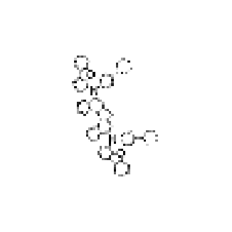 C1=C(N(c2ccc(C3CCCCC3)cc2)c2cccc3c2oc2ccccc23)c2ccccc2C2c3c(cc(N(c4ccc(C5CCCCC5)cc4)c4cccc5c4oc4ccccc45)c4ccccc34)SC12